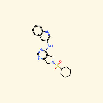 O=S(=O)(C1CCCCC1)N1Cc2ncnc(Nc3cnc4ccccc4c3)c2C1